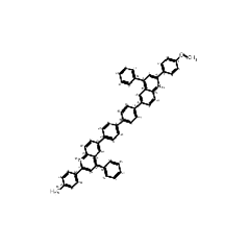 COc1ccc(-c2cc(-c3ccccc3)c3cc(-c4ccc(-c5ccc(-c6ccc7nc(-c8ccc(C)cc8)cc(-c8ccccc8)c7c6)cc5)cc4)ccc3n2)cc1